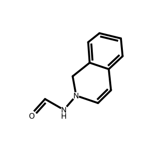 O=CNN1C=Cc2ccccc2C1